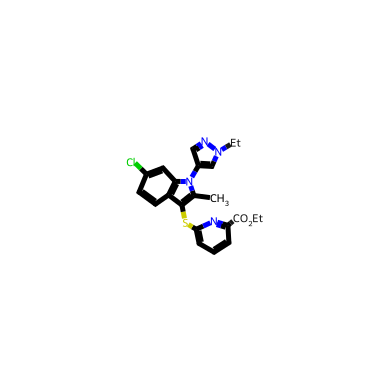 CCOC(=O)c1cccc(Sc2c(C)n(-c3cnn(CC)c3)c3cc(Cl)ccc23)n1